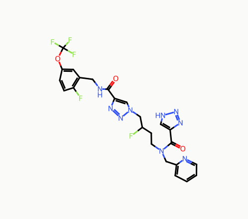 O=C(NCc1cc(OC(F)(F)F)ccc1F)c1cn(CC(F)CCN(Cc2ccccn2)C(=O)c2c[nH]nn2)nn1